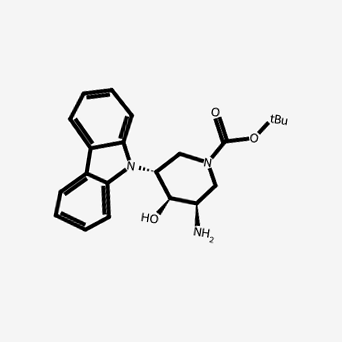 CC(C)(C)OC(=O)N1C[C@@H](N)[C@@H](O)[C@H](n2c3ccccc3c3ccccc32)C1